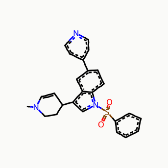 CN1C=CC(c2cn(S(=O)(=O)c3ccccc3)c3ccc(-c4ccncc4)cc23)CC1